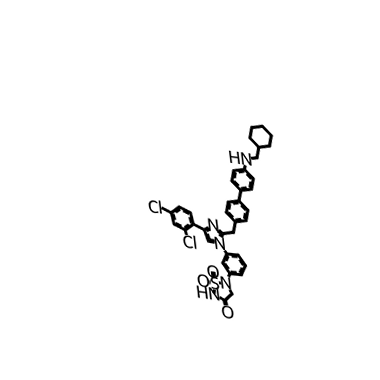 O=C1CN(c2cccc(-n3cc(-c4ccc(Cl)cc4Cl)nc3Cc3ccc(-c4ccc(NCC5CCCCC5)cc4)cc3)c2)S(=O)(=O)N1